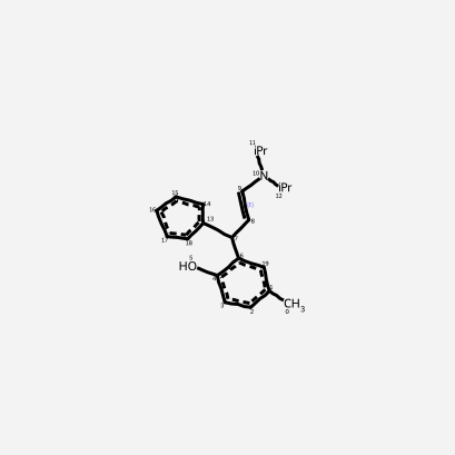 Cc1ccc(O)c(C(/C=C/N(C(C)C)C(C)C)c2ccccc2)c1